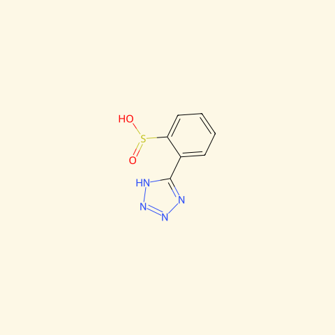 O=S(O)c1ccccc1-c1nnn[nH]1